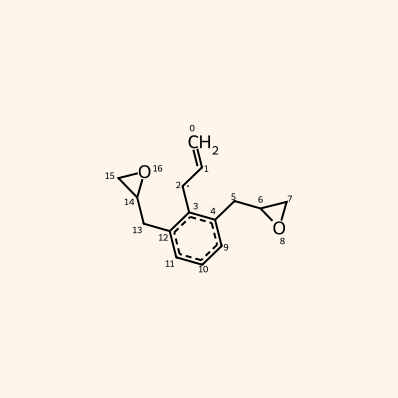 C=C[CH]c1c(CC2CO2)cccc1CC1CO1